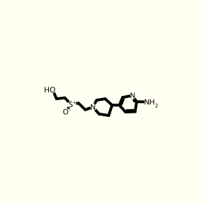 Nc1ccc(C2CCN(CC[S+]([O-])CCO)CC2)cn1